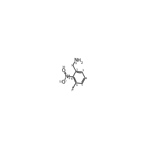 NCc1cccc(I)c1[N+](=O)[O-]